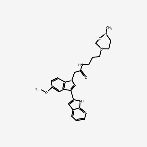 COc1ccc2c(c1)c(-c1cc3cccnc3[nH]1)cn2CC(=O)NCCCN1CCN(C)CC1